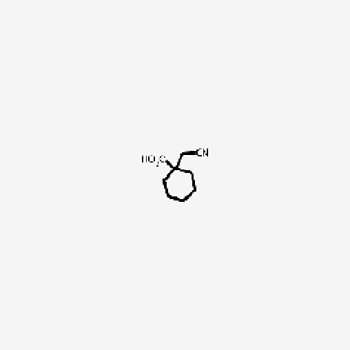 N#C[CH]C1(C(=O)O)CCCCC1